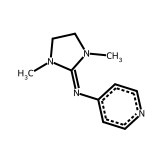 CN1CCN(C)C1=Nc1ccncc1